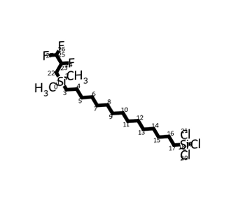 C[Si](C)(CCCCCCCCCCCCCCC[Si](Cl)(Cl)Cl)CC(F)C(F)F